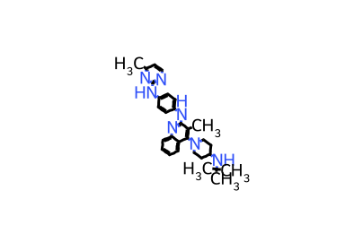 Cc1ccnc(Nc2ccc(Nc3nc4ccccc4c(N4CCC(NC(C)(C)C)CC4)c3C)cc2)n1